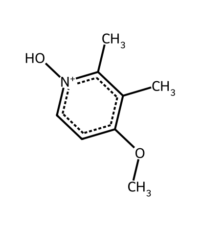 COc1cc[n+](O)c(C)c1C